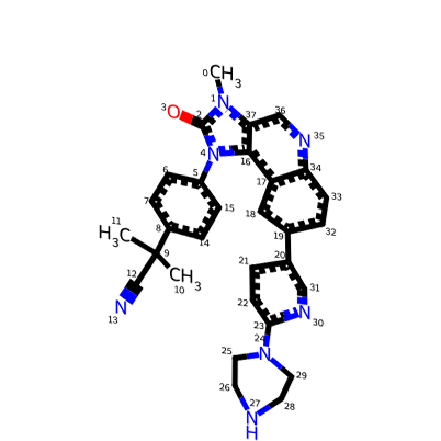 Cn1c(=O)n(-c2ccc(C(C)(C)C#N)cc2)c2c3cc(-c4ccc(N5CCNCC5)nc4)ccc3ncc21